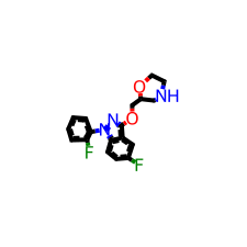 Fc1ccc2c(c1)c(OCC1CNCCO1)nn2-c1ccccc1F